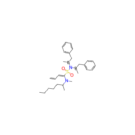 C=C/C=C(\N(C)C(C)CCCCC)S(=O)(=O)N(B(C)Cc1ccccc1)B(C)Cc1ccccc1